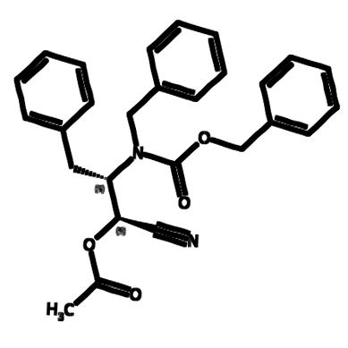 CC(=O)O[C@H](C#N)[C@H](Cc1ccccc1)N(Cc1ccccc1)C(=O)OCc1ccccc1